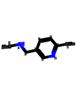 CONCc1ccc(OC)nc1